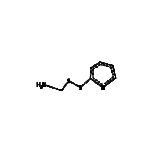 NCSSc1ccccn1